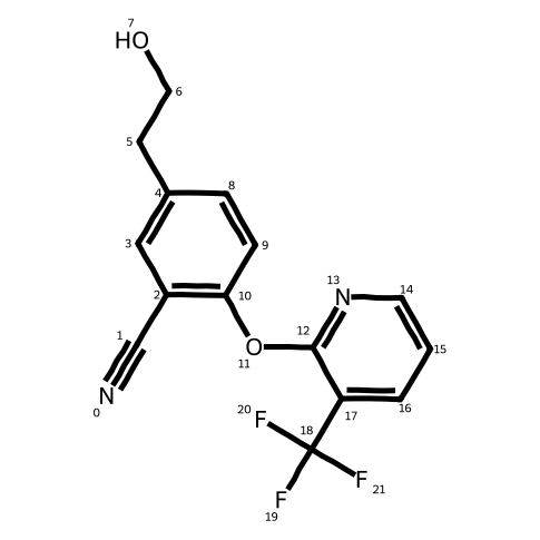 N#Cc1cc(CCO)ccc1Oc1ncccc1C(F)(F)F